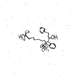 CS(=O)(=O)N(CCCCCCC(=O)O)C(c1ccccc1)C(O)CCc1ccccc1